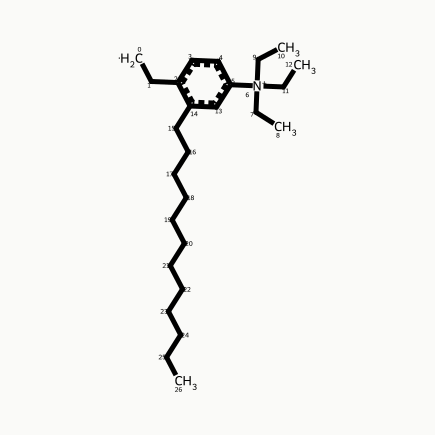 [CH2]Cc1ccc([N+](CC)(CC)CC)cc1CCCCCCCCCCCC